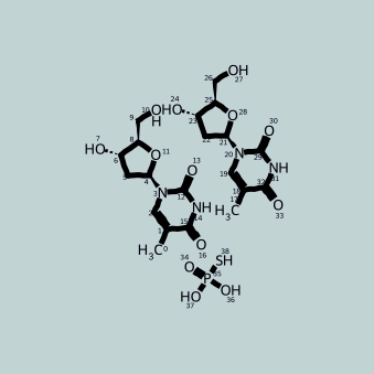 Cc1cn([C@H]2C[C@H](O)[C@@H](CO)O2)c(=O)[nH]c1=O.Cc1cn([C@H]2C[C@H](O)[C@@H](CO)O2)c(=O)[nH]c1=O.O=P(O)(O)S